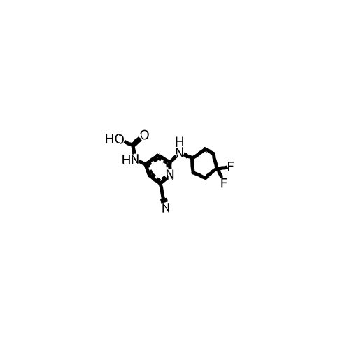 N#Cc1cc(NC(=O)O)cc(NC2CCC(F)(F)CC2)n1